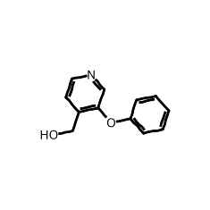 OCc1ccncc1Oc1ccccc1